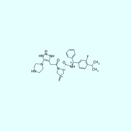 CC(C)c1ccc([C@@H](NC(=O)[C@@H]2C[C@@H](F)CN2C(=O)CC2=C(N3CCNCC3)NNN2)c2ccccc2)cc1F